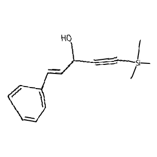 C[Si](C)(C)C#CC(O)/C=C/c1ccccc1